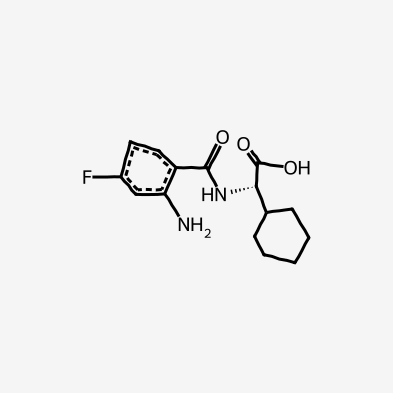 Nc1cc(F)ccc1C(=O)N[C@H](C(=O)O)C1CCCCC1